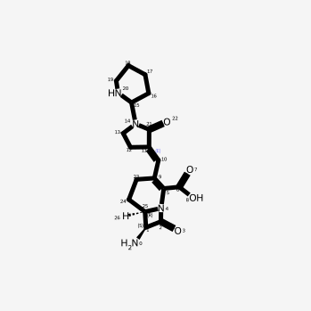 N[C@@H]1C(=O)N2C(C(=O)O)=C(/C=C3\CCN(C4CCCCN4)C3=O)CC[C@H]12